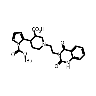 CC(C)(C)OC(=O)n1cccc1C1CCN(CCn2c(=O)[nH]c3ccccc3c2=O)CC1C(=O)O